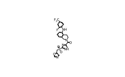 O=C(c1c[nH]c(S(=O)(=O)Cc2cnco2)n1)N1CCc2c(cccc2Nc2ccc(C(F)(F)F)cc2F)C1